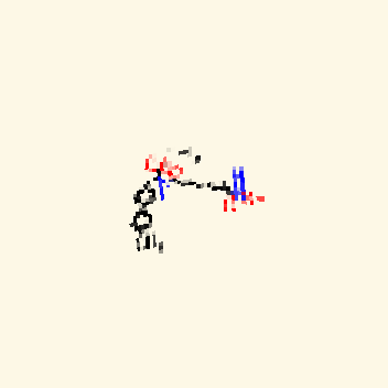 COC(=O)[C@H](Cc1ccc(-c2ccc(C)cc2)cc1)NC(=O)CCCCCCC(=O)NO